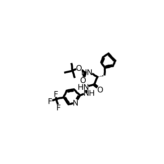 CC(C)(C)OC(=O)N[C@H](Cc1ccccc1)C(=O)NNc1ccc(C(F)(F)F)cn1